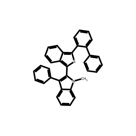 Cn1c(-c2sc(-c3ccccc3-c3ccccc3)c3ccccc23)c(-c2ccccc2)c2ccccc21